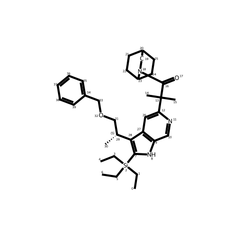 CC[Si](CC)(CC)c1[nH]c2cnc(C(C)(C)C(=O)N3CC4CCC3CC4)cc2c1[C@H](C)COCc1ccccc1